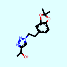 CC(O)c1cn(CCc2ccc3c(c2)OC(C)(C)O3)nn1